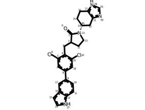 O=C1C(Cc2c(Cl)cc(-c3ccc4[nH]ccc4c3)cc2Cl)CCN1[C@@H]1CCc2[nH]cnc2C1